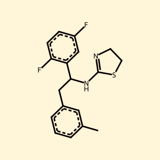 Cc1cccc(CC(NC2=NCCS2)c2cc(F)ccc2F)c1